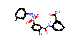 Cc1cccc(NS(=O)(=O)c2ccc(Cl)c(C(=O)Nc3ccccc3C(=O)O)c2)c1